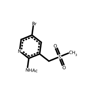 CC(=O)Nc1ncc(Br)cc1CS(C)(=O)=O